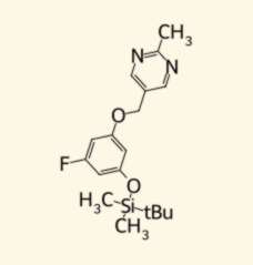 Cc1ncc(COc2cc(F)cc(O[Si](C)(C)C(C)(C)C)c2)cn1